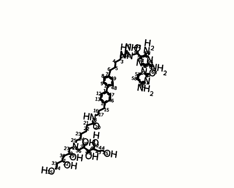 N=C(NCCCCc1ccc(-c2ccc(CCCNC(=O)CCCCCN(CC(O)CC(O)CCO)CC(O)[C@@H](O)C(O)CCO)cc2)cc1)NC(=O)c1nc(-n2ccc(N)nc2=O)c(N)nc1N